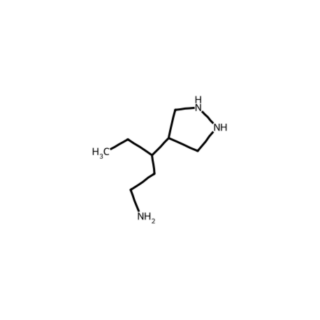 CCC(CCN)C1CNNC1